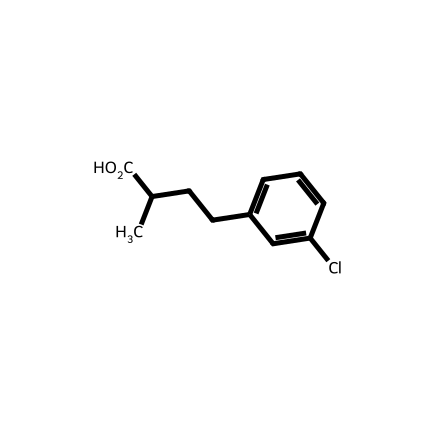 CC(CCc1cccc(Cl)c1)C(=O)O